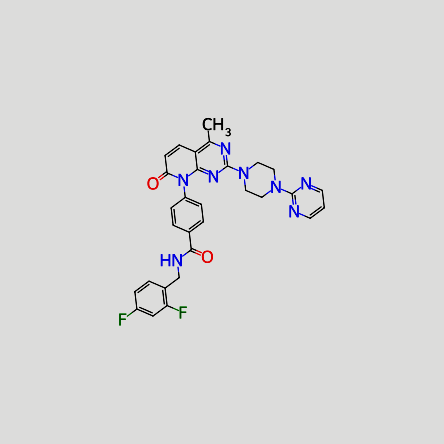 Cc1nc(N2CCN(c3ncccn3)CC2)nc2c1ccc(=O)n2-c1ccc(C(=O)NCc2ccc(F)cc2F)cc1